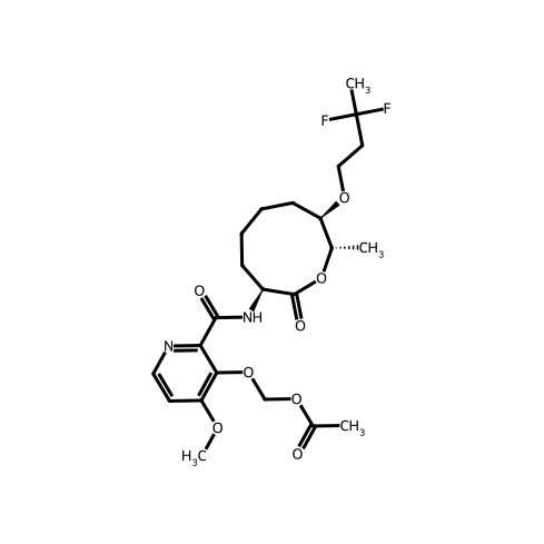 COc1ccnc(C(=O)N[C@H]2CCCC[C@@H](OCCC(C)(F)F)[C@H](C)OC2=O)c1OCOC(C)=O